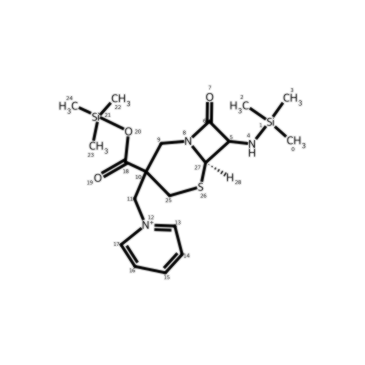 C[Si](C)(C)NC1C(=O)N2CC(C[n+]3ccccc3)(C(=O)O[Si](C)(C)C)CS[C@H]12